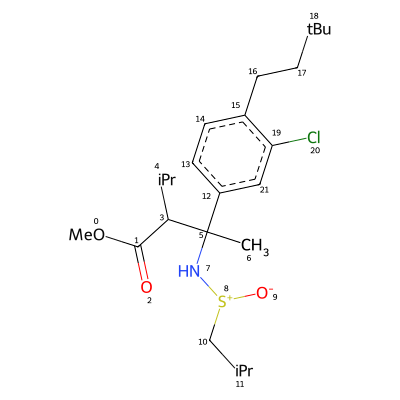 COC(=O)C(C(C)C)C(C)(N[S+]([O-])CC(C)C)c1ccc(CCC(C)(C)C)c(Cl)c1